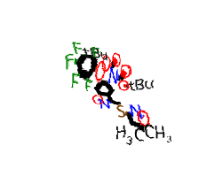 CC(C)(C)OC(=O)N(C(=O)OC(C)(C)C)c1cc2c(CSC3=NOC(C)(C)C3)noc2cc1Oc1c(F)c(F)c(F)c(F)c1F